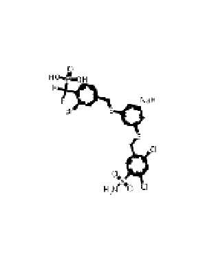 NS(=O)(=O)c1cc(CSc2cccc(SCc3ccc(C(F)(F)P(=O)(O)O)c(Br)c3)c2)c(Cl)cc1Cl.[NaH]